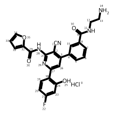 Cl.N#Cc1c(-c2cccc(C(=O)NCCN)c2)cc(-c2ccc(F)cc2O)nc1NC(=O)c1ccco1